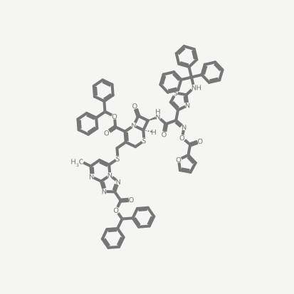 Cc1cc(SCC2=C(C(=O)OC(c3ccccc3)c3ccccc3)N3C(=O)[C@@H](NC(=O)/C(=N\OC(=O)c4ccco4)c4csc(NC(c5ccccc5)(c5ccccc5)c5ccccc5)n4)[C@H]3SC2)n2nc(C(=O)OC(c3ccccc3)c3ccccc3)nc2n1